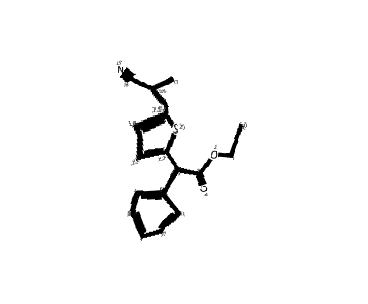 CCOC(=O)C(c1ccccc1)c1ccc(C(C)C#N)s1